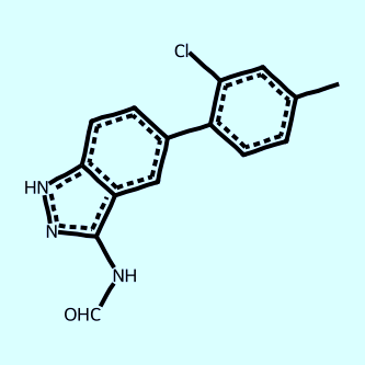 Cc1ccc(-c2ccc3[nH]nc(NC=O)c3c2)c(Cl)c1